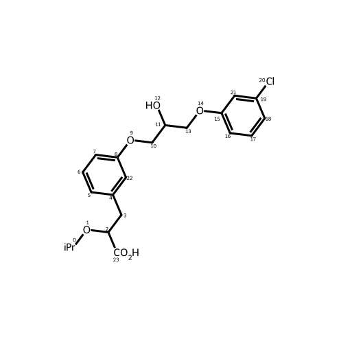 CC(C)OC(Cc1cccc(OCC(O)COc2cccc(Cl)c2)c1)C(=O)O